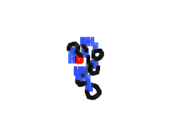 NCCN(CC[C@@H]1[C@@H](Nc2nccc(N3CCCCCCC3)n2)CCCN1C1CCCCC1)C(=O)C1CCCCN1